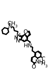 CC1C=CC(CCNCc2cc3nnn(CCCN(C)C4CCCCC4)c3c3occc23)=C2C=CC(=O)NC21